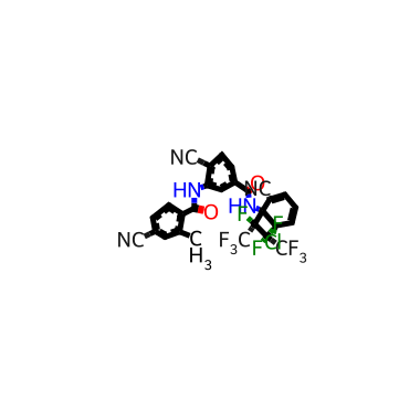 Cc1cc(C#N)ccc1C(=O)Nc1cc(C(=O)NC2(C(F)(C(F)(F)F)C(F)(F)C(F)(F)F)C(C#N)=CC=CC2Cl)ccc1C#N